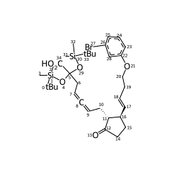 CC(C)(C)[Si](C)(C)OC(CC=C=CC[C@H]1C(=O)CC[C@@H]1/C=C/CCOc1cccc(Br)c1)(O[Si](C)(C)C(C)(C)C)C(=O)O